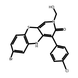 O=c1c(-c2ccc(Cl)cc2)c2c(cn1CO)Sc1ccc(Br)cc1N2